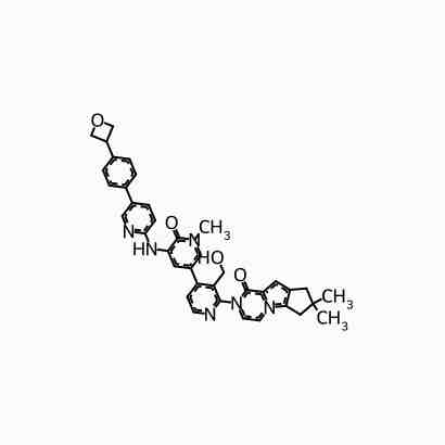 Cn1cc(-c2ccnc(-n3ccn4c5c(cc4c3=O)CC(C)(C)C5)c2CO)cc(Nc2ccc(-c3ccc(C4COC4)cc3)cn2)c1=O